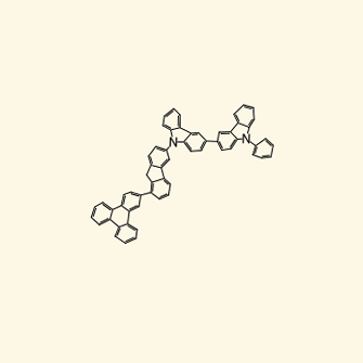 c1ccc(-n2c3ccccc3c3cc(-c4ccc5c(c4)c4ccccc4n5-c4ccc5c(c4)-c4cccc(-c6ccc7c8ccccc8c8ccccc8c7c6)c4C5)ccc32)cc1